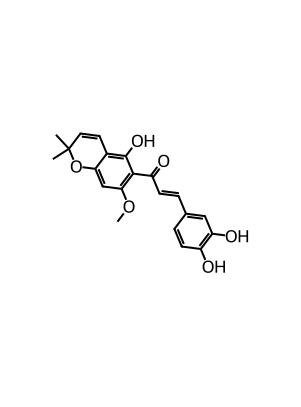 COc1cc2c(c(O)c1C(=O)C=Cc1ccc(O)c(O)c1)C=CC(C)(C)O2